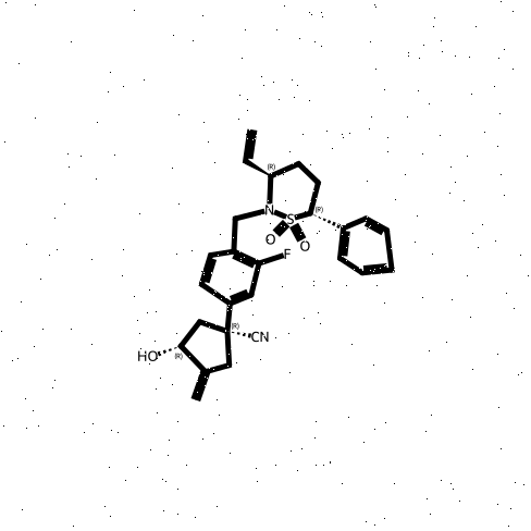 C=C[C@H]1CC[C@H](c2ccccc2)S(=O)(=O)N1Cc1ccc([C@@]2(C#N)CC(=C)[C@H](O)C2)cc1F